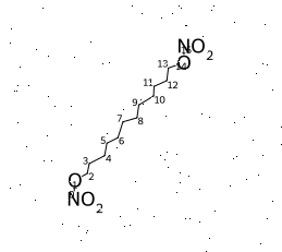 O=[N+]([O-])OCCCCCCCCCCCCO[N+](=O)[O-]